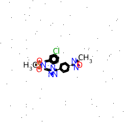 Cc1nc([C@H]2CC[C@H](c3nnc4n3-c3ccc(Cl)cc3CN(S(C)(=O)=O)C4)CC2)no1